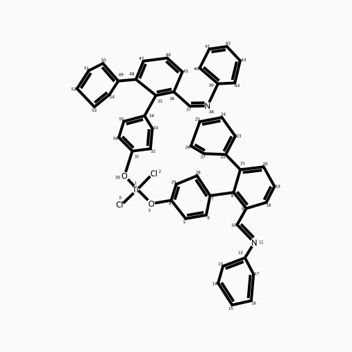 [Cl][Ti]([Cl])([O]c1ccc(-c2c(C=Nc3ccccc3)cccc2-c2ccccc2)cc1)[O]c1ccc(-c2c(C=Nc3ccccc3)cccc2-c2ccccc2)cc1